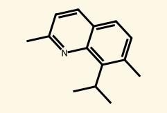 Cc1ccc2ccc(C)c(C(C)C)c2n1